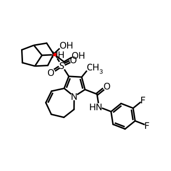 Cc1c(S(=O)(=O)NC2C3CCC2CC(O)(CO)C3)c2n(c1C(=O)Nc1ccc(F)c(F)c1)CCCC=C2